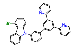 Brc1cccc2c1c1ccccc1n2-c1cccc(-c2cc(-c3ccccn3)cc(-c3ccccn3)c2)c1